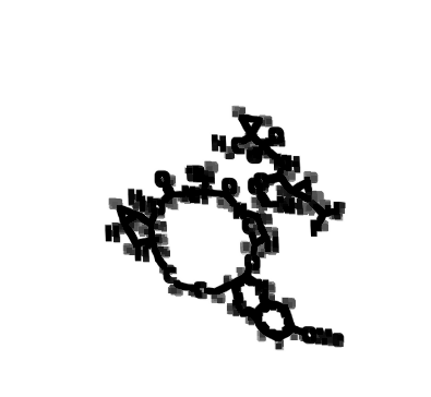 COc1ccc2nc3c(nc2c1)O[C@@H]1C[C@@H](C(=O)N[C@]2(C(=O)NS(=O)(=O)C4(C)CC4)C[C@H]2C(F)F)N(C1)C(=O)[C@H](C(C)(C)C)NC(=O)O[C@H]1[C@H](CCCCC3)C[C@H]2C[C@H]21